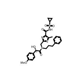 COc1ccc([C@@H](O)C(=O)N(CCCc2ccccc2)Cc2nc(C(=O)NS(=O)(=O)C3CC3)c(C)s2)cc1